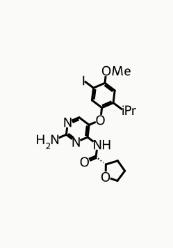 COc1cc(C(C)C)c(Oc2cnc(N)nc2NC(=O)[C@@H]2CCCO2)cc1I